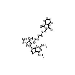 Nc1nc(N)c2ncn([C@@H]3O[C@H](CO)C(O)[C@@H]3OCCCCCCN3C(=O)c4ccccc4C3=O)c2n1